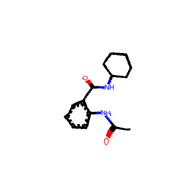 CC(=O)Nc1ccccc1C(=O)NC1CCCCC1